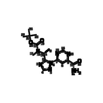 C[C@@H](c1ncnn1-c1cc(C(N)=O)ncn1)N(C)C(=O)OC(C)(C)C